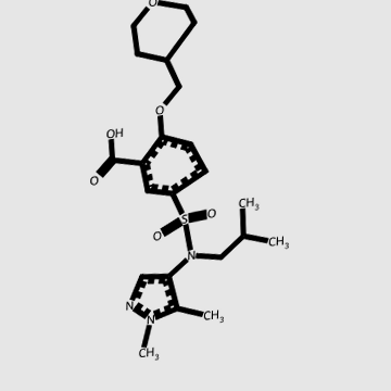 Cc1c(N(CC(C)C)S(=O)(=O)c2ccc(OCC3CCOCC3)c(C(=O)O)c2)cnn1C